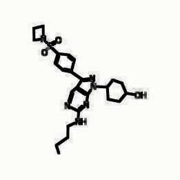 CCCCNc1ncc2c(-c3ccc(S(=O)(=O)N4CCC4)cc3)nn(C3CCC(O)CC3)c2n1